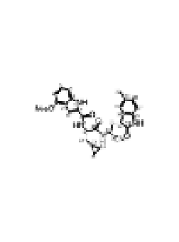 COc1cccc2[nH]c(C(=O)N[C@@H](CC3CC3)C(=O)N[C@H](C#N)C[C@H]3C(=O)Nc4ccc(C)cc43)cc12